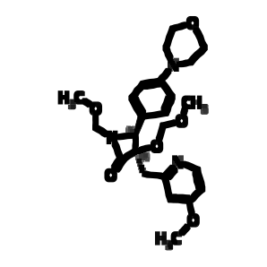 COCO[C@@]1(Cc2cc(OC)ccn2)C(=O)N(COC)[C@H]1c1ccc(N2CCOCC2)cc1